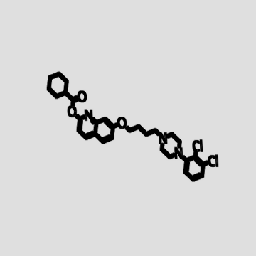 O=C(Oc1ccc2ccc(OCCCCN3CCN(c4cccc(Cl)c4Cl)CC3)cc2n1)C1CCCCC1